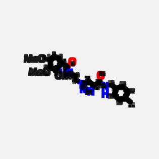 COc1ccc(C(=O)NCCn2cc(C(=O)NCc3ccc(C)cc3)nn2)c(OC)c1OC